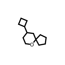 C1CC(C2CCOC3(CCCC3)C2)C1